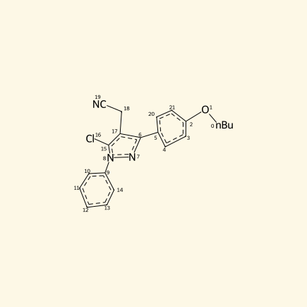 CCCCOc1ccc(-c2nn(-c3ccccc3)c(Cl)c2CC#N)cc1